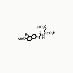 COc1ccc2cc(C(C)C(=O)NC(CCC(=O)O)C(=O)O)ccc2c1Br